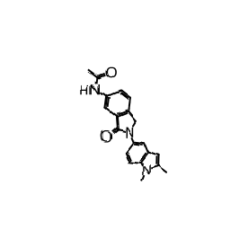 CC(=O)Nc1ccc2c(c1)C(=O)N(c1ccc3c(c1)cc(C)n3C)C2